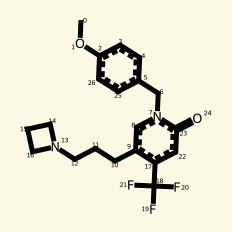 COc1ccc(Cn2cc(CCCN3CCC3)c(C(F)(F)F)cc2=O)cc1